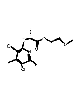 COCCOC(=O)[C@@H](C)Oc1nc(F)c(Cl)c(C)c1Cl